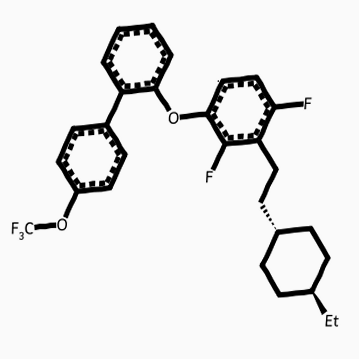 CC[C@H]1CC[C@H](CCc2c(F)c[c]c(Oc3ccccc3-c3ccc(OC(F)(F)F)cc3)c2F)CC1